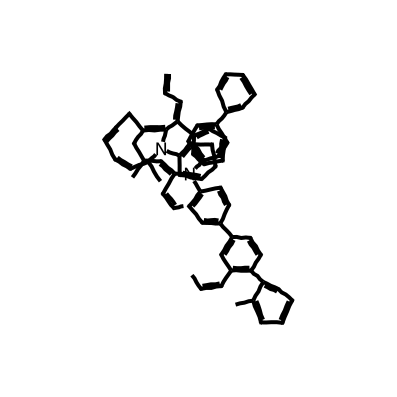 C=C/C=C(\C1=C(\CC(C)/C=C(\C=C/C)N(c2ccc(-c3ccccc3)cc2)c2ccc(-c3ccc(-c4ccccc4C)c(/C=C\C)c3)cc2)C/C=C\C=C/C(C)N1C1=CCCC=C1)c1ccccc1